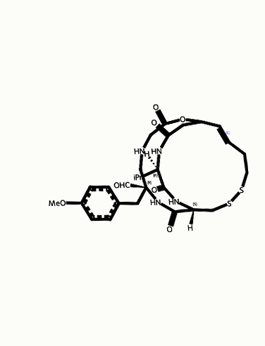 COc1ccc(C[C@]2(C=O)CNCC(=O)OC3/C=C/CCSSC[C@@H](NC(=O)[C@@H](C(C)C)NC(=O)C3)C(=O)N2)cc1